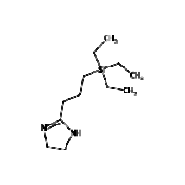 CC[Si](CC)(CC)CCCC1=NCCN1